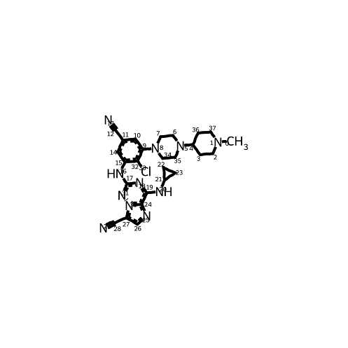 CN1CCC(N2CCN(c3cc(C#N)cc(Nc4nc(NC5CC5)c5ncc(C#N)n5n4)c3Cl)CC2)CC1